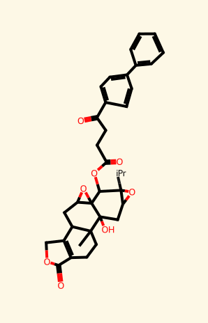 CC(C)C12OC1CC1(O)C3(C)CCC4=C(COC4=O)C3CC3OC31C2OC(=O)CCC(=O)c1ccc(-c2ccccc2)cc1